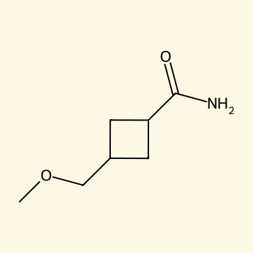 COCC1CC(C(N)=O)C1